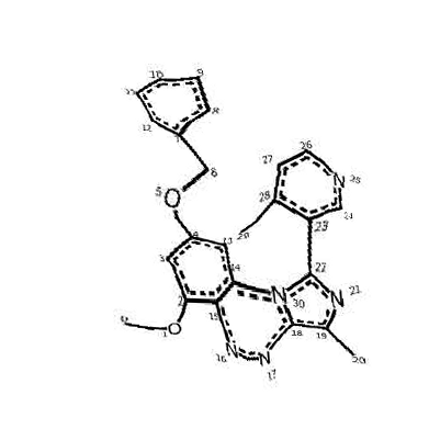 COc1cc(OCc2ccccc2)cc2c1nnc1c(C)nc(-c3cnccc3C)n12